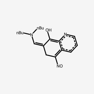 CCCCN(C=C1CC(N=O)=c2cccnc2=C1O)CCCC